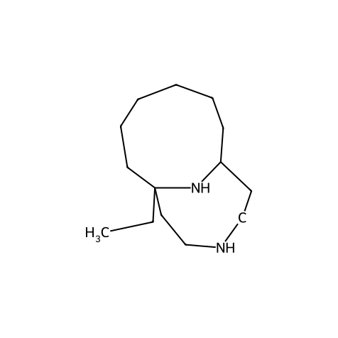 CCC12CCCCCCC(CCNCC1)N2